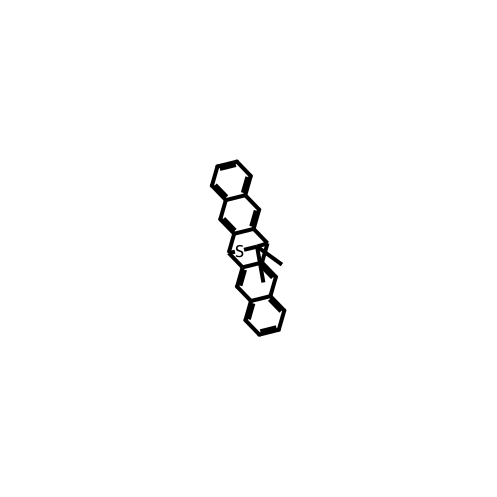 CC1(C)SC2c3cc4ccccc4cc3C1c1cc3ccccc3cc12